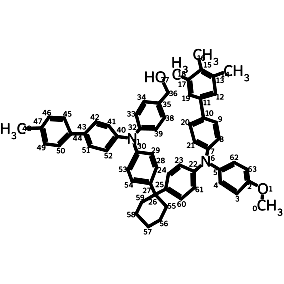 COc1ccc(N(c2ccc(-c3cc(C)c(C)c(C)c3)cc2)c2ccc(C3(c4ccc(N(c5ccc(CO)cc5)c5ccc(-c6ccc(C)cc6)cc5)cc4)CCCCC3)cc2)cc1